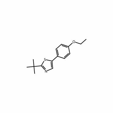 CCOc1ccc(-c2cnc(C(C)(C)C)s2)cc1